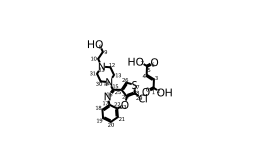 O=C(O)C=CC(=O)O.OCCN1CCN(C2=Nc3ccccc3Oc3c2csc3Cl)CC1